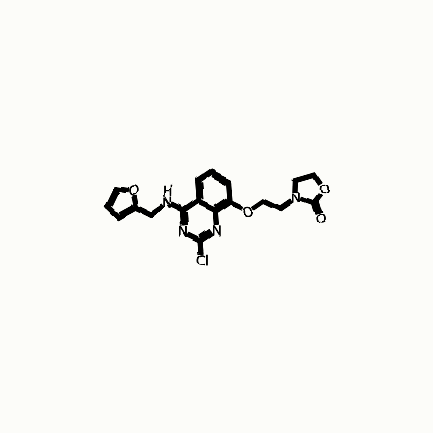 O=C1OCCN1CCOc1cccc2c(NCc3ccco3)nc(Cl)nc12